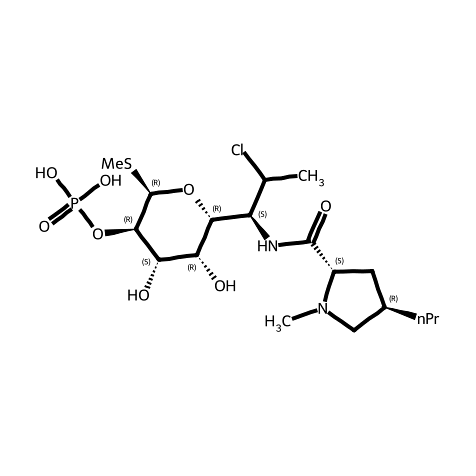 CCC[C@@H]1C[C@@H](C(=O)N[C@H](C(C)Cl)[C@H]2O[C@H](SC)[C@H](OP(=O)(O)O)[C@@H](O)[C@H]2O)N(C)C1